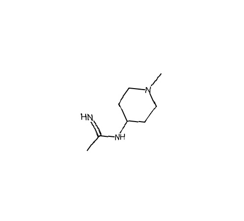 CC(=N)NC1CCN(C)CC1